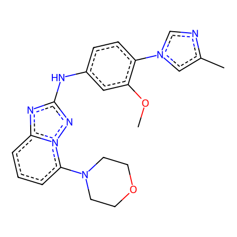 COc1cc(Nc2nc3cccc(N4CCOCC4)n3n2)ccc1-n1cnc(C)c1